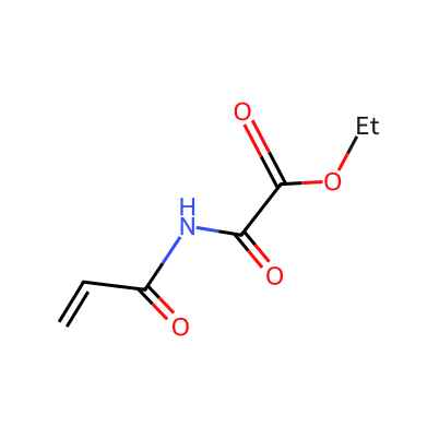 C=CC(=O)NC(=O)C(=O)OCC